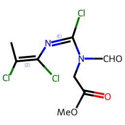 COC(=O)CN(C=O)/C(Cl)=N\C(Cl)=C(/C)Cl